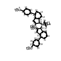 CC(C)(C)C1=Cc2c(-c3ccc(C(C)(C)C)cc3)cccc2[CH]1[Hf]1([CH]2C(C(C)(C)C)=Cc3c(-c4ccc(C(C)(C)C)cc4)cccc32)[CH2][CH2]1.Cl.Cl